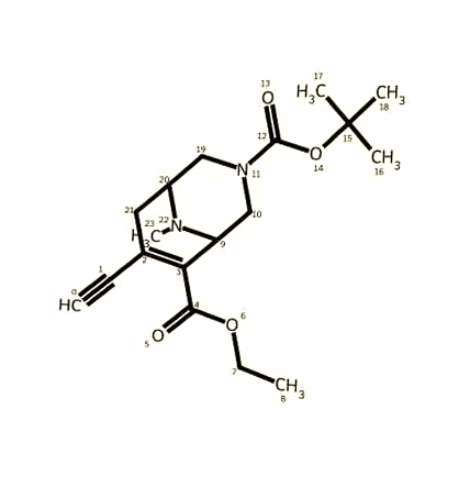 C#CC1=C(C(=O)OCC)C2CN(C(=O)OC(C)(C)C)CC(C1)N2C